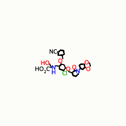 N#Cc1cccc(COC2=C(CN[C@H](CO)C(=O)O)C=C(Cl)C(OCc3cccn(-c4ccc5c(c4)OCCO5)c3=O)C2)c1